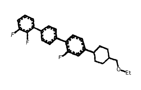 CCOCC1CCC(c2ccc(-c3ccc(-c4cccc(F)c4F)cc3)c(F)c2)CC1